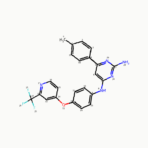 Cc1ccc(-c2cc(Nc3ccc(Oc4ccnc(C(F)(F)F)c4)cc3)nc(N)n2)cc1